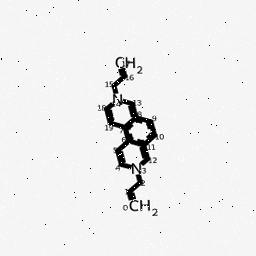 C=CCN1C=Cc2c3c(ccc2=C1)=CN(CC=C)C=C3